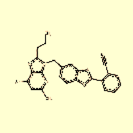 CCCc1nc2c(C)cc(C)nc2n1Cc1ccc2oc(-c3ccccc3C#N)nc2c1